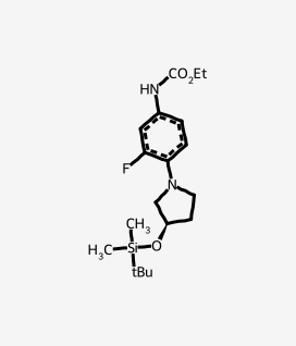 CCOC(=O)Nc1ccc(N2CC[C@@H](O[Si](C)(C)C(C)(C)C)C2)c(F)c1